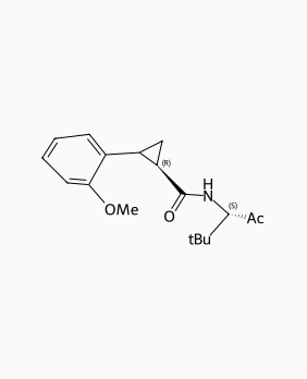 COc1ccccc1C1C[C@H]1C(=O)N[C@H](C(C)=O)C(C)(C)C